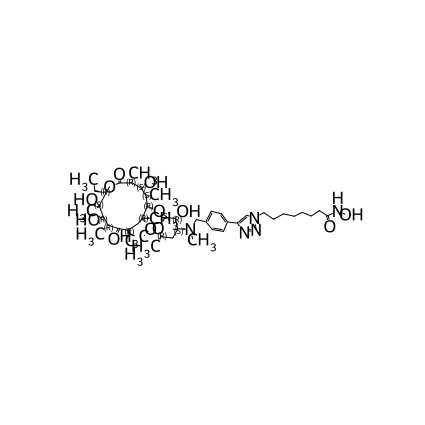 CC[C@H]1OC(=O)[C@H](C)[C@@H](O)[C@H](C)[C@@H](O[C@@H]2O[C@H](C)C[C@H](N(C)Cc3ccc(-c4cn(CCCCCCCC(=O)NO)nn4)cc3)[C@H]2O)[C@](C)(OC)C[C@@H](C)C(=O)[C@H](C)[C@@H](O)[C@]1(C)O